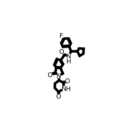 O=C1CCC(N2Cc3cc(C(=O)NC(c4ccc(F)cc4)C4CCCC4)ccc3C2=O)C(=O)N1